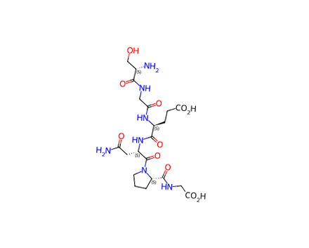 NC(=O)C[C@H](NC(=O)[C@H](CCC(=O)O)NC(=O)CNC(=O)[C@@H](N)CO)C(=O)N1CCC[C@H]1C(=O)NCC(=O)O